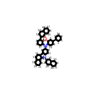 c1ccc(-c2ccc(N(c3ccc4c(c3)c3ccc5ccccc5c3n4-c3ccc4ccccc4c3)c3cccc4c3oc3c5ccccc5ccc43)cc2)cc1